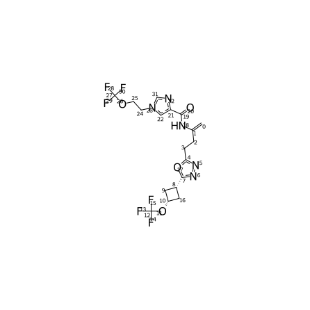 C=C(CCc1nnc([C@H]2C[C@@H](OC(F)(F)F)C2)o1)NC(=O)c1cn(CCOC(F)(F)F)cn1